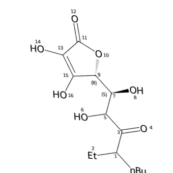 CCCCC(CC)C(=O)C(O)[C@H](O)[C@H]1OC(=O)C(O)=C1O